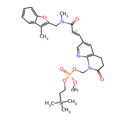 CCCOP(=O)(OCC[Si](C)(C)C)OCN1C(=O)CCc2cc(/C=C/C(=O)N(C)Cc3oc4ccccc4c3C)cnc21